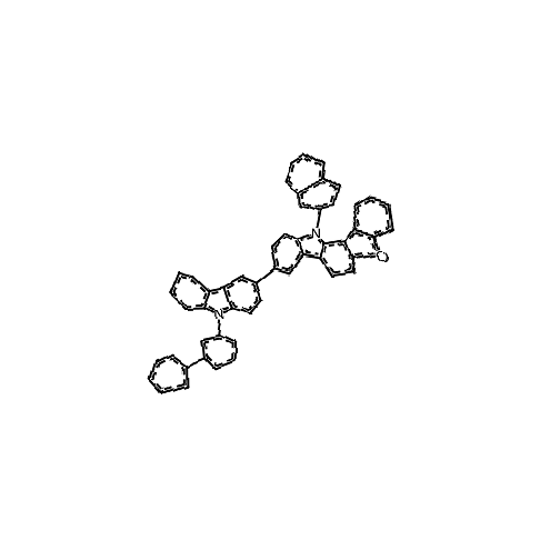 c1ccc(-c2cccc(-n3c4ccccc4c4cc(-c5ccc6c(c5)c5ccc7oc8ccccc8c7c5n6-c5ccc6ccccc6c5)ccc43)c2)cc1